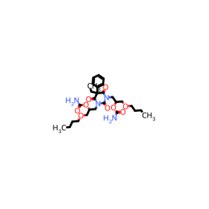 CCCCOCC(CN1C(=O)N(CC(COCCCC)OC(N)=O)C(=O)C(CC)(c2ccccc2)C1=O)OC(N)=O